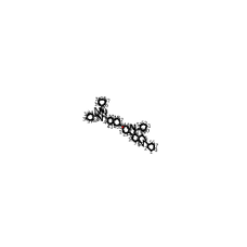 c1ccc(-c2ccc3c(ccc4c5ccc(-c6ccc7cc(-c8nc(-c9ccccc9)nc(-c9ccccc9)n8)ccc7c6)cc5nc(-c5ccccc5)c34)n2)cc1